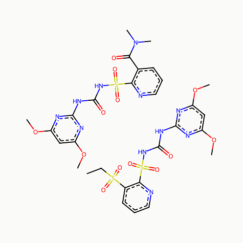 CCS(=O)(=O)c1cccnc1S(=O)(=O)NC(=O)Nc1nc(OC)cc(OC)n1.COc1cc(OC)nc(NC(=O)NS(=O)(=O)c2ncccc2C(=O)N(C)C)n1